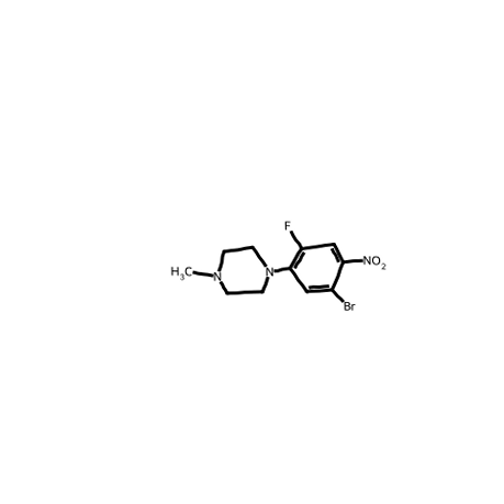 CN1CCN(c2cc(Br)c([N+](=O)[O-])cc2F)CC1